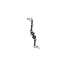 CCCCCCOc1ccc(-c2ncc(OCCCCOCCCCC)cn2)cc1